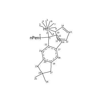 CCCCC[C]1([Hf]([CH3])([CH3])([CH3])([CH3])([CH3])([CH3])([CH3])[CH]2C=CC=C2)C=Cc2cc3c(cc21)CC(C)(C)C3